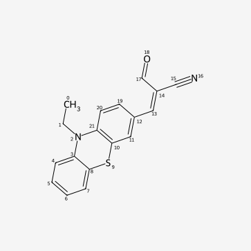 CCN1c2ccccc2Sc2cc(/C=C(/C#N)C=O)ccc21